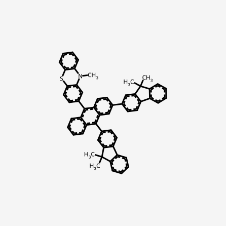 CN1c2ccccc2Sc2ccc(-c3c4ccccc4c(-c4ccc5c(c4)C(C)(C)c4ccccc4-5)c4cc(-c5ccc6c(c5)C(C)(C)c5ccccc5-6)ccc34)cc21